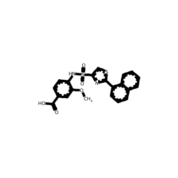 COc1cc(C(=O)O)ccc1NS(=O)(=O)c1csc(-c2cccc3ccccc23)n1